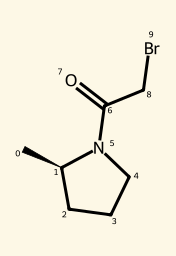 C[C@@H]1CCCN1C(=O)CBr